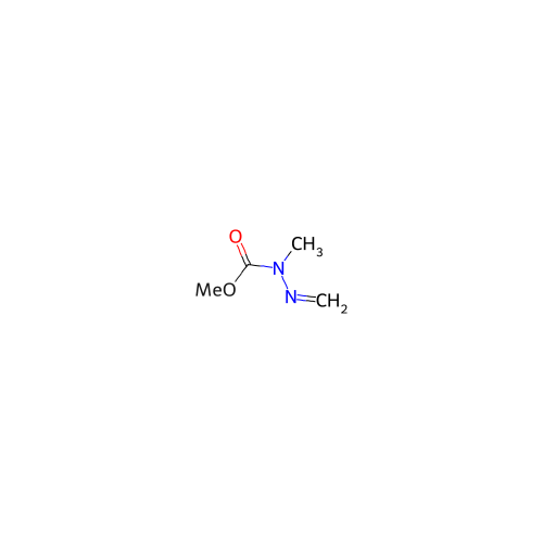 C=NN(C)C(=O)OC